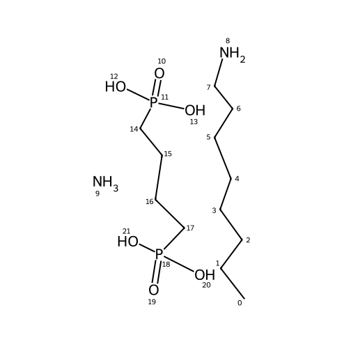 CCCCCCCCN.N.O=P(O)(O)CCCCP(=O)(O)O